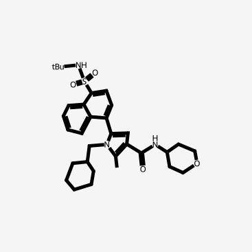 Cc1c(C(=O)NC2CCOCC2)cc(-c2ccc(S(=O)(=O)NC(C)(C)C)c3ccccc23)n1CC1CCCCC1